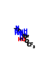 Cc1ncc(CN2C=C([C@@H]3CC(O)(c4ccc(C(F)(F)F)cc4)C[C@H](C)N3)NN2)cn1